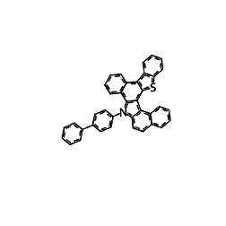 c1ccc(-c2ccc(-n3c4ccc5ccccc5c4c4c5sc6ccccc6c5c5ccccc5c43)cc2)cc1